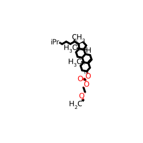 C=COCCOC(=O)O[C@H]1CC[C@@]2(C)C(=CCC3C2CC[C@]2(C)[C@@H]([C@H](C)CCCC(C)C)CC[C@@H]32)C1